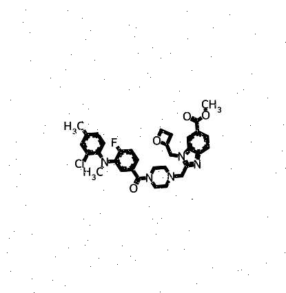 COC(=O)c1ccc2nc(CN3CCN(C(=O)c4ccc(F)c(N(C)c5ccc(C)cc5Cl)c4)CC3)n(CC3CCO3)c2c1